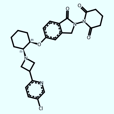 O=C1c2ccc(O[C@@H]3CCCC[C@@H]3N3CC(c4ccc(Cl)cn4)C3)cc2CN1N1C(=O)CCCC1=O